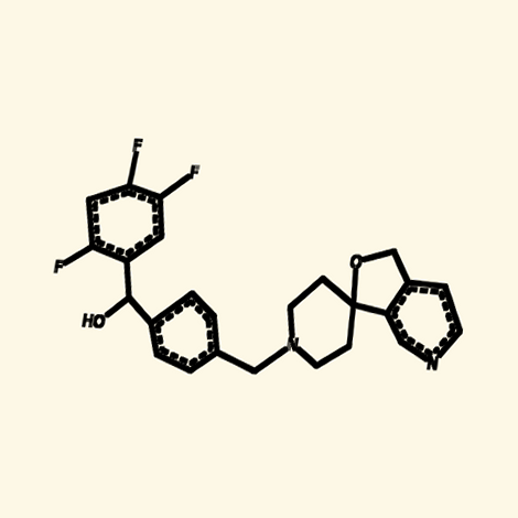 OC(c1ccc(CN2CCC3(CC2)OCc2ccncc23)cc1)c1cc(F)c(F)cc1F